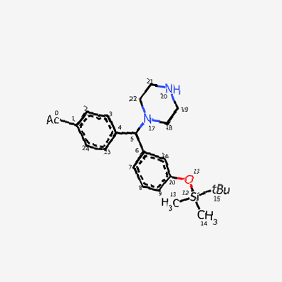 CC(=O)c1ccc(C(c2cccc(O[Si](C)(C)C(C)(C)C)c2)N2CCNCC2)cc1